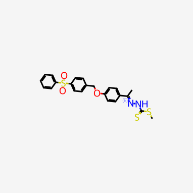 CSC(=S)N/N=C(\C)c1ccc(OCc2ccc(S(=O)(=O)c3ccccc3)cc2)cc1